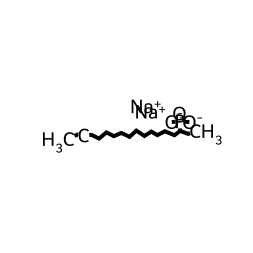 CCCCCCCCCCCCCCCC(CC)P(=O)([O-])[O-].[Na+].[Na+]